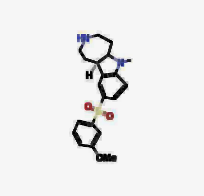 COc1cccc(S(=O)(=O)c2ccc3c(c2)[C@H]2CCNCCC2N3C)c1